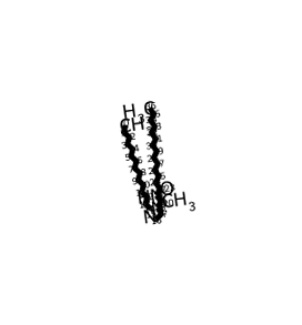 CCCCCCCCCCCCCCC1=NCCN1C(C)NC(=O)CCCCCCCCCCCCC